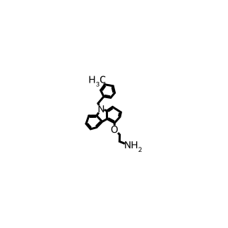 Cc1cccc(Cn2c3ccccc3c3c(OCCN)cccc32)c1